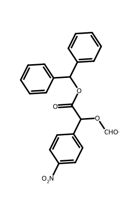 O=[C]OC(C(=O)OC(c1ccccc1)c1ccccc1)c1ccc([N+](=O)[O-])cc1